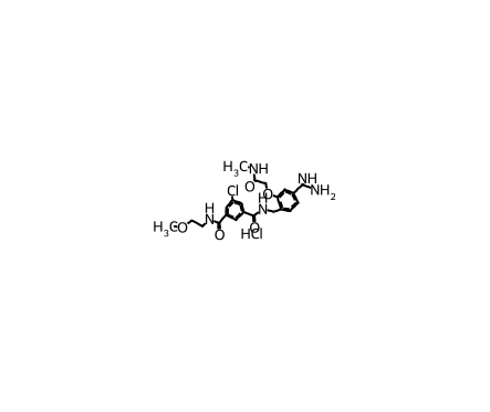 CNC(=O)COc1cc(C(=N)N)ccc1CNC(=O)c1cc(Cl)cc(C(=O)NCCOC)c1.Cl